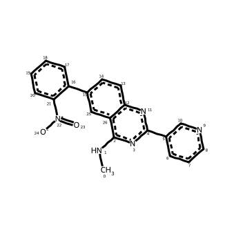 CNc1nc(-c2cccnc2)nc2ccc(-c3ccccc3[N+](=O)[O-])cc12